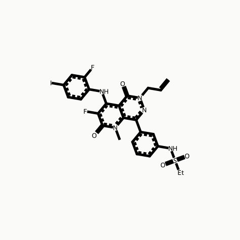 C=CCn1nc(-c2cccc(NS(=O)(=O)CC)c2)c2c(c(Nc3ccc(I)cc3F)c(F)c(=O)n2C)c1=O